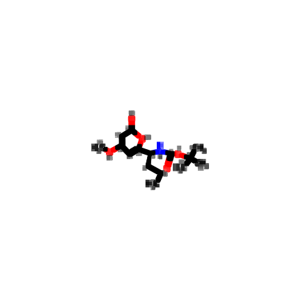 CCC[C@H](NC(=O)OC(C)(C)C)c1cc(OC)cc(=O)o1